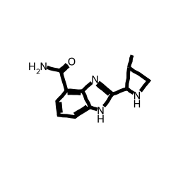 CC1CNC1c1nc2c(C(N)=O)cccc2[nH]1